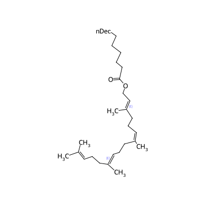 CCCCCCCCCCCCCCCC(=O)OC/C=C(\C)CCC=C(C)CC/C=C(\C)CCC=C(C)C